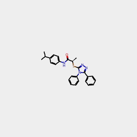 CC(C)c1ccc(NC(=O)[C@@H](C)Sc2nnc(-c3ccccc3)n2-c2ccccc2)cc1